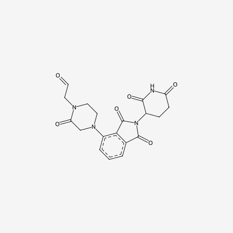 O=CCN1CCN(c2cccc3c2C(=O)N(C2CCC(=O)NC2=O)C3=O)CC1=O